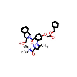 CCCCN(CCCC)C(=O)c1cc(C)n(-c2cc(OCC(=O)OCc3ccccc3)ccc2C(=O)N2Cc3ccccc3CC2CO)n1